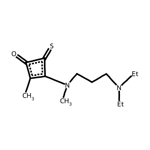 CCN(CC)CCCN(C)c1c(C)c(=O)c1=S